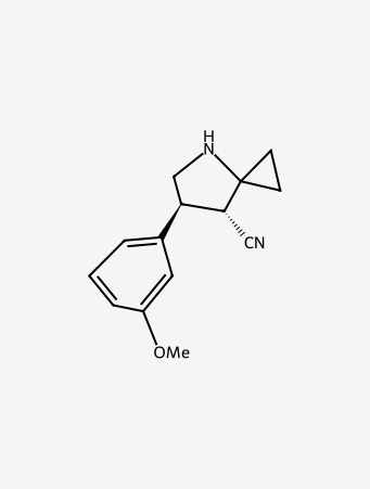 COc1cccc([C@H]2CNC3(CC3)[C@@H]2C#N)c1